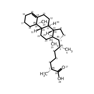 C[C@H](CCC[C@@H](C)[C@H]1CC[C@H]2[C@@H]3CCC4=CCCC[C@]4(C)[C@H]3CC[C@]12C)C(=O)O